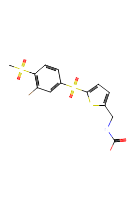 CS(=O)(=O)c1ccc(S(=O)(=O)c2ccc(CNC(=O)O)s2)cc1Br